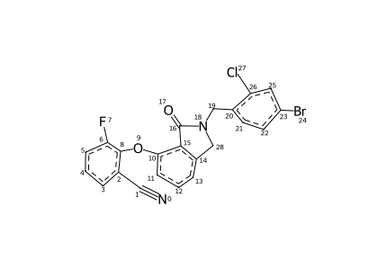 N#Cc1cccc(F)c1Oc1cccc2c1C(=O)N(Cc1ccc(Br)cc1Cl)C2